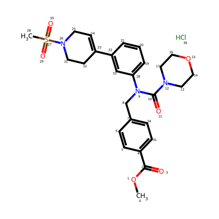 COC(=O)c1ccc(CN(C(=O)N2CCOCC2)c2cccc(C3=CCN(S(C)(=O)=O)CC3)c2)cc1.Cl